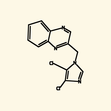 Clc1ncn(Cc2cnc3ccccc3n2)c1Cl